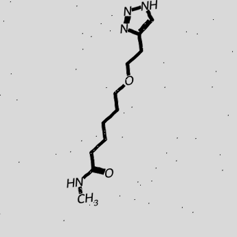 CNC(=O)CCCCCOCCc1c[nH]nn1